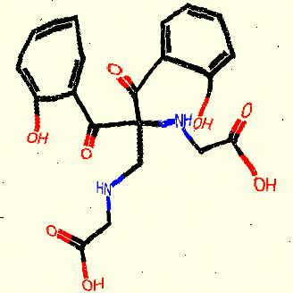 O=C(O)CNCC(NCC(=O)O)(C(=O)c1ccccc1O)C(=O)c1ccccc1O